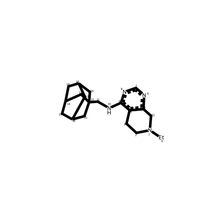 CCN1CCc2c(ncnc2NCC23CC4CC(CC(C4)C2)C3)C1